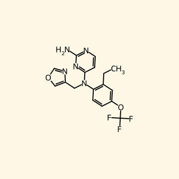 CCc1cc(OC(F)(F)F)ccc1N(Cc1cocn1)c1ccnc(N)n1